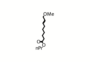 CCCOC(=O)CCCCC/C=C/COC